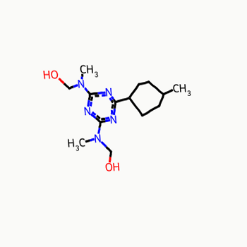 CC1CCC(c2nc(N(C)CO)nc(N(C)CO)n2)CC1